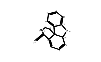 O=C1NCCC23C1=CC=CC2Oc1ccccc13